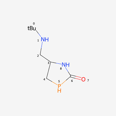 CC(C)(C)NCC1CPC(=O)N1